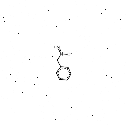 N=[N+]([O-])[C]c1ccccc1